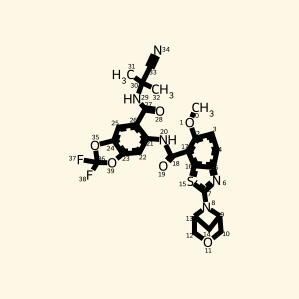 COc1ccc2nc(N3C4COCC3C4)sc2c1C(=O)Nc1cc2c(cc1C(=O)NC(C)(C)C#N)OC(F)(F)O2